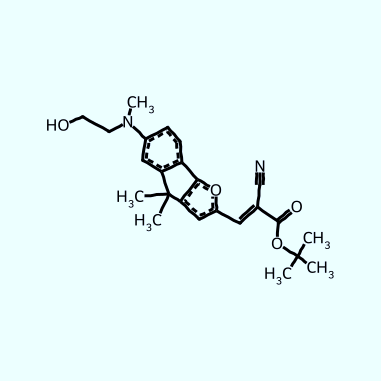 CN(CCO)c1ccc2c(c1)C(C)(C)c1cc(/C=C(\C#N)C(=O)OC(C)(C)C)oc1-2